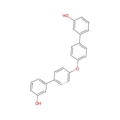 Oc1cccc(-c2ccc(Oc3ccc(-c4cccc(O)c4)cc3)cc2)c1